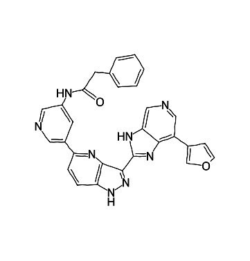 O=C(Cc1ccccc1)Nc1cncc(-c2ccc3[nH]nc(-c4nc5c(-c6ccoc6)cncc5[nH]4)c3n2)c1